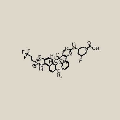 Cc1ccc2c(NS(=O)(=O)CCC(F)(F)F)c(F)ccc2c1Oc1ncccc1-c1nc(N[C@H]2C[C@H](F)CN(C(=O)O)C2)ncc1C(C)(C)C